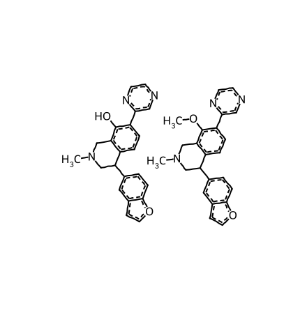 CN1Cc2c(ccc(-c3cnccn3)c2O)C(c2ccc3occc3c2)C1.COc1c(-c2cnccn2)ccc2c1CN(C)CC2c1ccc2occc2c1